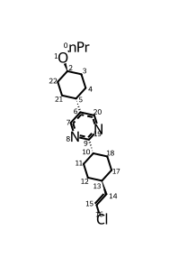 CCCO[C@H]1CC[C@H](c2cnc([C@H]3CC[C@H](/C=C/Cl)CC3)nc2)CC1